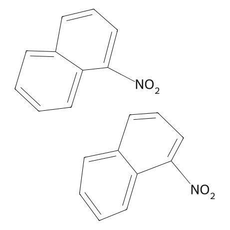 O=[N+]([O-])c1cccc2ccccc12.O=[N+]([O-])c1cccc2ccccc12